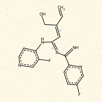 C=C/C(=C/C(=N\C(=N)c1ccc(F)cn1)Nc1ccncc1F)CO